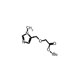 Cn1cncc1COCC(=O)OC(C)(C)C